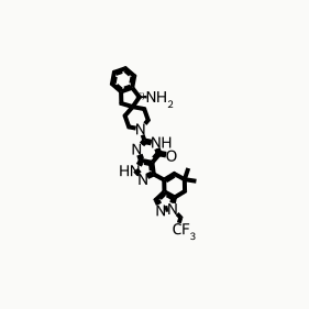 CC1(C)C=C(c2n[nH]c3nc(N4CCC5(CC4)Cc4ccccc4[C@H]5N)[nH]c(=O)c23)c2cnn(CC(F)(F)F)c2C1